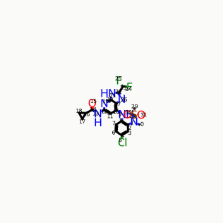 CN(c1cc(Cl)ccc1Nc1cc(NC(=O)C2CC2)nc2[nH]c(C(F)F)nc12)S(C)(=O)=O